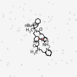 CCCC[C@H](O)[C@](C)(CC1CCCCC1)N(CC1CCCCC1)C(=O)[C@@H](CC(=O)NCC(=O)N(C)CCc1ccccn1)Cc1csc(N)n1